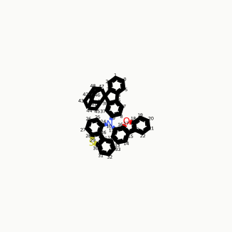 c1ccc2c(c1)-c1ccc(N(c3cccc4c3oc3ccccc34)c3cccc4sc5ccccc5c34)cc1C21C2CC3CC(C2)CC1C3